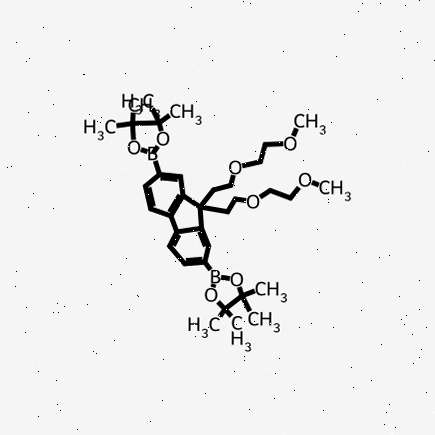 COCCOCCC1(CCOCCOC)c2cc(B3OC(C)(C)C(C)(C)O3)ccc2-c2ccc(B3OC(C)(C)C(C)(C)O3)cc21